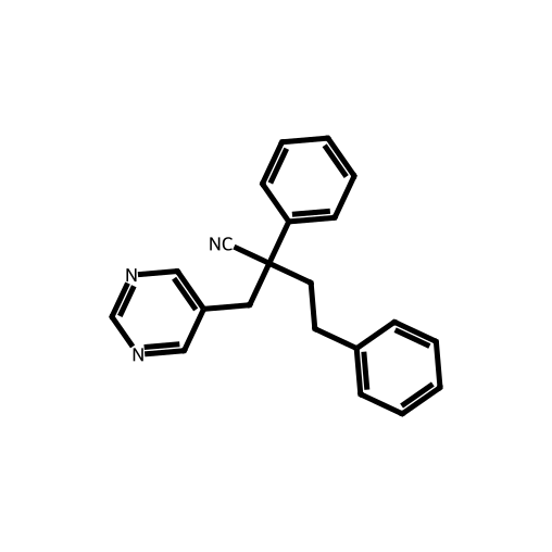 N#CC(CCc1ccccc1)(Cc1cncnc1)c1ccccc1